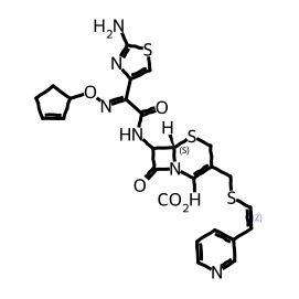 Nc1nc(C(=NOC2C=CCC2)C(=O)NC2C(=O)N3C(C(=O)O)=C(CS/C=C\c4cccnc4)CS[C@@H]23)cs1